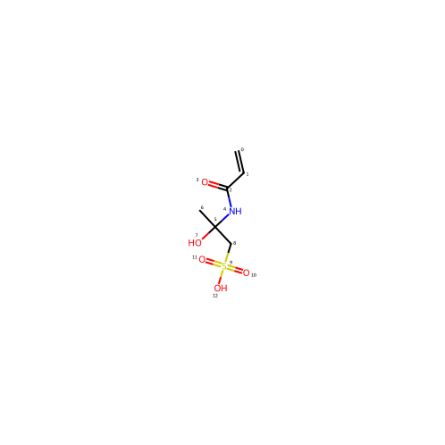 C=CC(=O)NC(C)(O)CS(=O)(=O)O